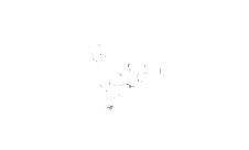 C=C1C(c2ccccc2)=C(C)N=C(c2cccc(O)c2)N1CCc1ccccc1